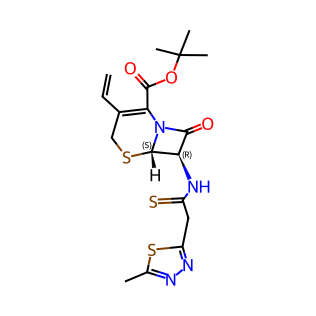 C=CC1=C(C(=O)OC(C)(C)C)N2C(=O)[C@@H](NC(=S)Cc3nnc(C)s3)[C@@H]2SC1